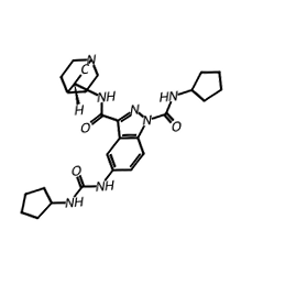 O=C(Nc1ccc2c(c1)c(C(=O)N[C@H]1CN3CCC1CC3)nn2C(=O)NC1CCCC1)NC1CCCC1